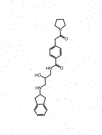 O=C(NCC(O)CNC1Cc2ccccc2C1)c1ccc(CC(=O)N2CCCC2)cc1